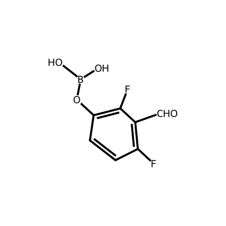 O=Cc1c(F)ccc(OB(O)O)c1F